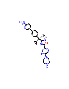 C[C@](c1ccc(-c2ccc(N)nc2)cc1)(c1noc(-c2cnc(N3CCNCC3)cn2)n1)C1CC1